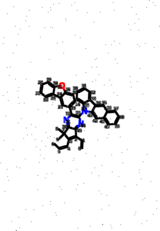 C=CC1=C(/C=C\C)C(C)(C)c2nc(-c3ccc4oc5ccccc5c4c3)c(-n3c4ccccc4c4cc5ccccc5cc43)nc21